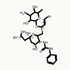 CC(C)/C=C/[C@@H](CC1O[C@](O)(C[C@@H](O)C(C)C)C[C@H](O)[C@H]1NC(=O)Nc1ccccc1)OC1OC(C)C(O)C(N)C1O